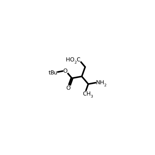 CC(N)C(CC(=O)O)C(=O)OC(C)(C)C